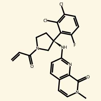 C=CC(=O)N1CC[C@](Nc2ccc3ccn(C)c(=O)c3n2)(c2c(F)ccc(Cl)c2Cl)C1